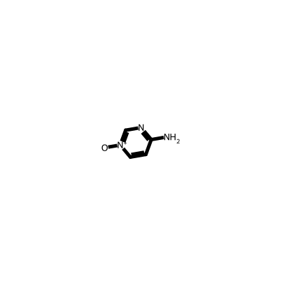 Nc1cc[n+]([O-])cn1